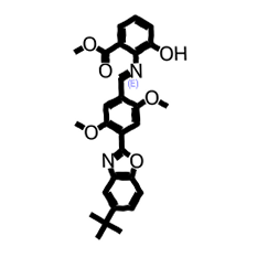 COC(=O)c1cccc(O)c1/N=C/c1cc(OC)c(-c2nc3cc(C(C)(C)C)ccc3o2)cc1OC